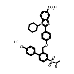 CN(C)S(=O)(=O)c1ccc(-c2ccc(Cl)cc2)c(COc2ccc(-c3nc4cc(C(=O)O)ccc4n3C3CCCCC3)cc2)c1.Cl